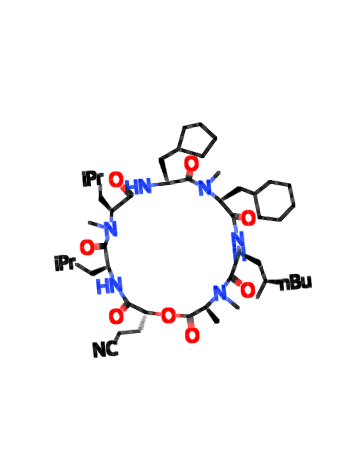 CCCC[C@@H](C)C[C@@H]1NC(=O)[C@H](CC2CCCCC2)N(C)C(=O)[C@H](CC2CCCC2)NC(=O)[C@H](CC(C)C)N(C)C(=O)[C@H](CC(C)C)NC(=O)[C@@H](CCC#N)OC(=O)[C@H](C)N(C)C1=O